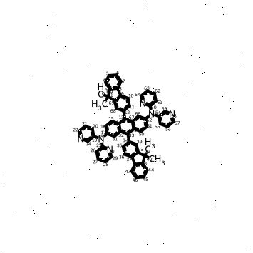 CC1(C)c2ccccc2-c2ccc(-c3c4ccc(N(c5cccnc5)c5ccccn5)cc4c(-c4ccc5c(c4)C(C)(C)c4ccccc4-5)c4ccc(N(c5cccnc5)c5ccccn5)cc34)cc21